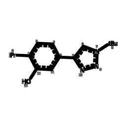 CC(C)c1ccc(-c2cn(C(C)(C)C)nn2)cc1O